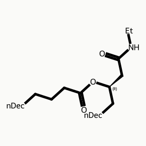 [CH2]CNC(=O)C[C@@H](CCCCCCCCCCC)OC(=O)CCCCCCCCCCCCC